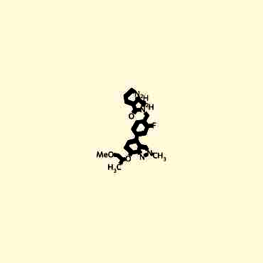 [2H]C1([2H])c2ncccc2C(=O)N1Cc1ccc(-c2ccc(OC(C)COC)c3nn(C)cc23)cc1F